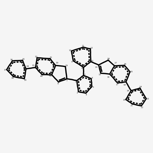 C1=C(c2ccccc2-c2ccccc2C2=Cc3cc(-c4ccccc4)ccc3C2)Cc2ccc(-c3ccccc3)cc21